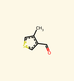 Cc1cscc1C=O